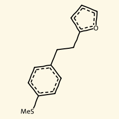 CSc1ccc(CCc2ccco2)cc1